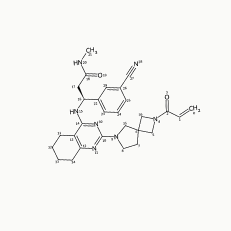 C=CC(=O)N1CC2(CCN(c3nc4c(c(N[C@@H](CC(=O)NC)c5cccc(C#N)c5)n3)CCCC4)C2)C1